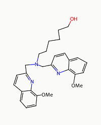 COc1cccc2ccc(CN(CCCCCCO)Cc3ccc4cccc(OC)c4n3)nc12